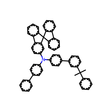 CC(C)(c1ccccc1)c1cccc(-c2ccc(N(c3ccc(-c4ccccc4)cc3)c3ccc4c(c3)C3(c5ccccc5-c5ccccc53)c3ccccc3-4)cc2)c1